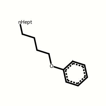 [CH2]CCCCCCCCCCOc1[c]cccc1